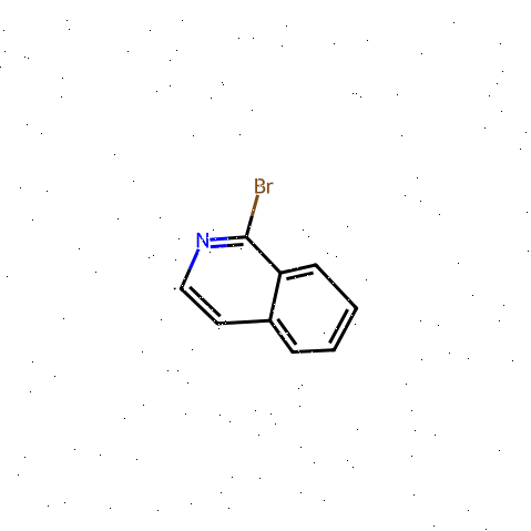 Brc1n[c]cc2ccccc12